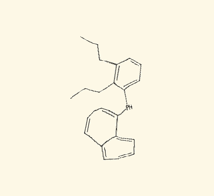 CCCc1cccc(Pc2cccc3ccccc23)c1CCC